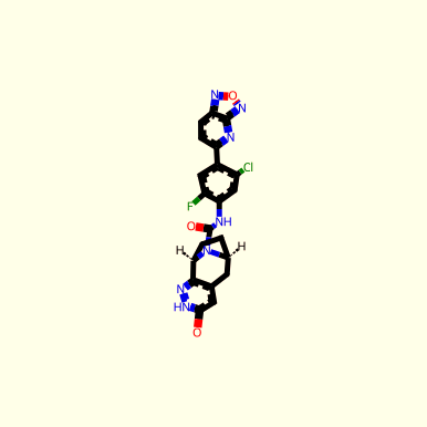 O=C(Nc1cc(Cl)c(-c2ccc3nonc3n2)cc1F)N1[C@H]2CC[C@@H]1c1n[nH]c(=O)cc1C2